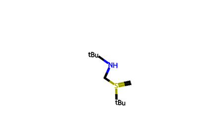 C=S(CNC(C)(C)C)C(C)(C)C